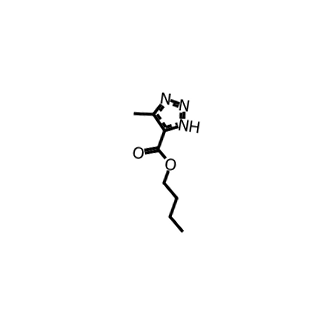 CCCCOC(=O)c1[nH]nnc1C